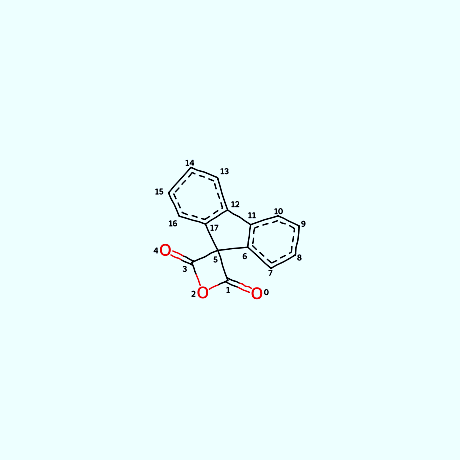 O=C1OC(=O)C12c1ccccc1-c1ccccc12